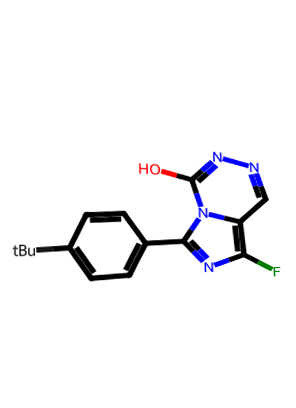 CC(C)(C)c1ccc(-c2nc(F)c3cnnc(O)n23)cc1